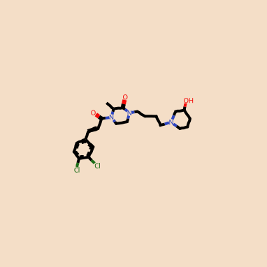 CC1C(=O)N(CCCCN2CCCC(O)C2)CCN1C(=O)C=Cc1ccc(Cl)c(Cl)c1